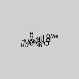 COc1ccc2c(c1)C(Nc1ncnc3c1ncn3[C@@H]1O[C@H](CO)C(O)C1O)CCC2